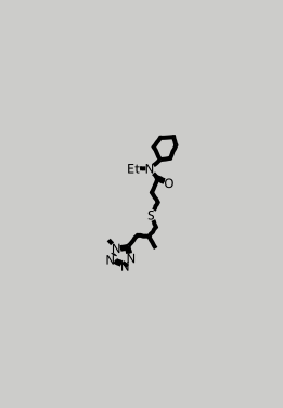 CCN(C(=O)CCSCC(C)Cc1nnnn1C)C1CCCCC1